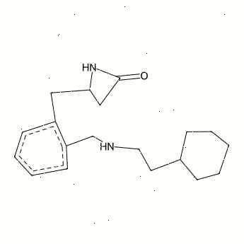 O=C1CC(Cc2ccccc2CNCCC2CCCCC2)N1